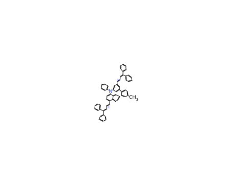 Cc1ccc(-c2cc(/C=C/C=C(c3ccccc3)c3ccccc3)cc(N(c3ccccc3)c3ccc(/C=C/C=C(c4ccccc4)c4ccccc4)c4ccccc34)c2)cc1